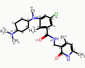 CCc1cc(C)[nH]c(=O)c1CNC(=O)c1cc(Cl)cc(N(CC)C2CCC(N(C)C)CC2)c1C